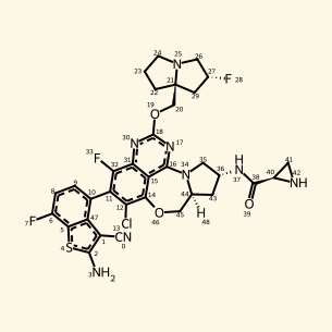 N#Cc1c(N)sc2c(F)ccc(-c3c(Cl)c4c5c(nc(OC[C@@]67CCCN6C[C@H](F)C7)nc5c3F)N3C[C@H](NC(=O)[C@H]5CN5)C[C@H]3CO4)c12